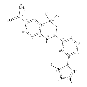 Cn1nnnc1-c1cccc(C2CC(C)(C)c3cc(C(N)=O)ccc3N2)c1